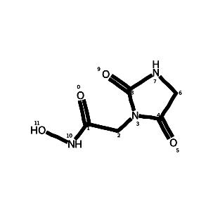 O=C(CN1C(=O)CNC1=O)NO